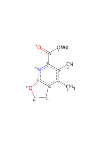 COC(=O)c1nc2c(c(C)c1C#N)CCO2